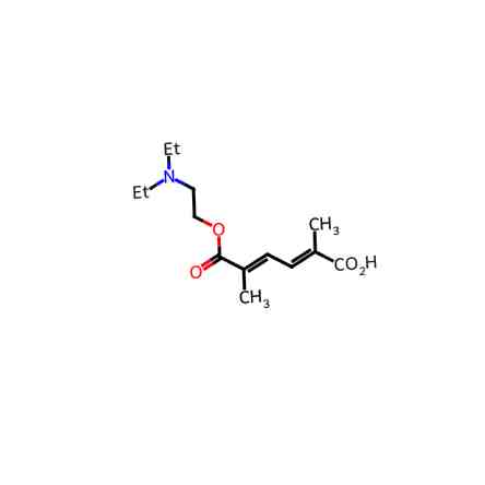 CCN(CC)CCOC(=O)C(C)=CC=C(C)C(=O)O